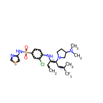 C=C/C(Nc1ccc(S(=O)(=O)Nc2cscn2)cc1Cl)=C(\C=C(/C)C(F)(F)F)N1CCC(N(C)C)C1